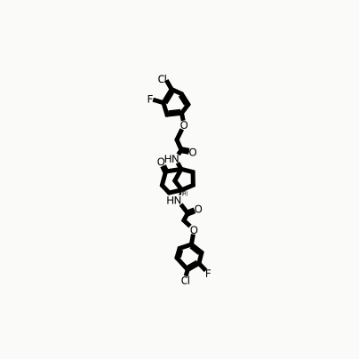 O=C(COc1ccc(Cl)c(F)c1)NC12CC[C@@](NC(=O)COc3ccc(Cl)c(F)c3)(CCC1=O)C2